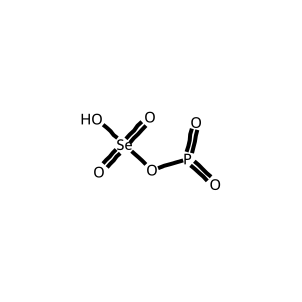 O=P(=O)O[Se](=O)(=O)O